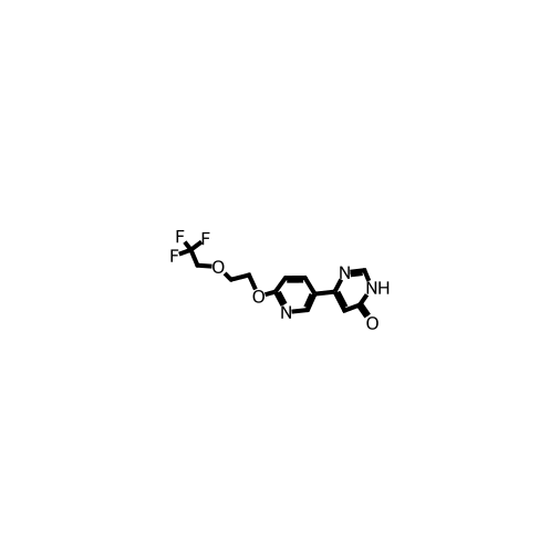 O=c1cc(-c2ccc(OCCOCC(F)(F)F)nc2)nc[nH]1